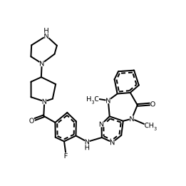 CN1C(=O)c2ccccc2N(C)c2nc(Nc3ccc(C(=O)N4CCC(N5CCNCC5)CC4)cc3F)ncc21